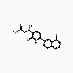 CC(C)C(CC(N)=O)c1ccc(-c2ccc3cccc(F)c3c2)[nH]c1=O